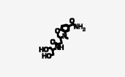 CN1c2cc(C(N)=O)ccc2OCC1CC(=O)NC(CO)CO